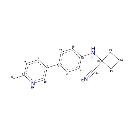 Cc1ccc(-c2ccc(NC3(C#N)CCC3)cc2)cn1